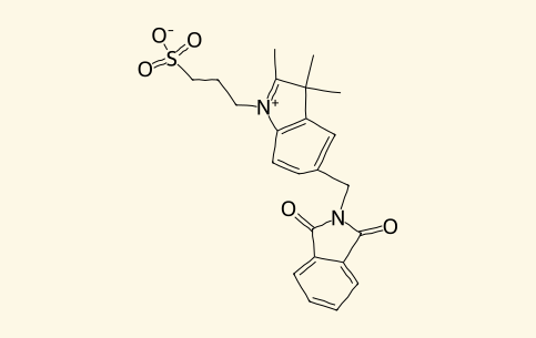 CC1=[N+](CCCS(=O)(=O)[O-])c2ccc(CN3C(=O)c4ccccc4C3=O)cc2C1(C)C